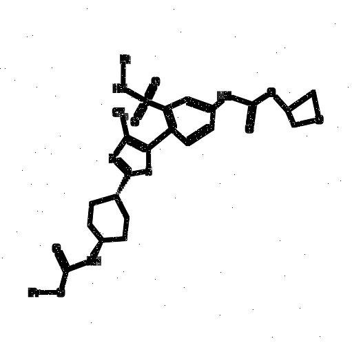 CCNS(=O)(=O)c1cc(NC(=O)OC2COC2)ccc1-c1sc([C@H]2CC[C@H](NC(=O)OC(C)C)CC2)nc1C(F)(F)F